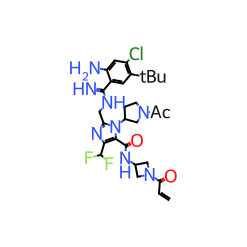 C=CC(=O)N1CC(NC(=O)c2c(C(F)F)nc(CNC(=N)c3cc(C(C)(C)C)c(Cl)cc3N)n2C2CCN(C(C)=O)C2)C1